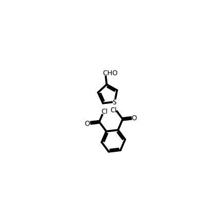 O=C(Cl)c1ccccc1C(=O)Cl.O=Cc1ccsc1